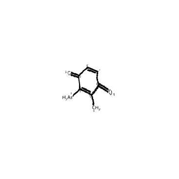 CC1=C([AsH2])C(=O)C=CC1=O